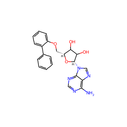 Nc1ncnc2c1ncn2[C@@H]1O[C@H](COc2ccccc2-c2ccccc2)C(O)C1O